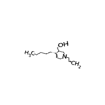 C=CCN1CC=C(CCCCC)C(CO)C1